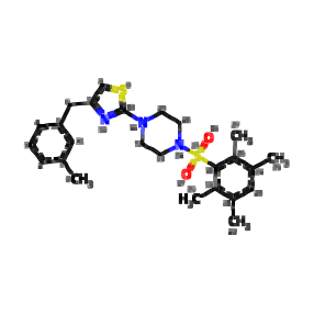 Cc1cccc(Cc2csc(N3CCN(S(=O)(=O)c4c(C)c(C)cc(C)c4C)CC3)n2)c1